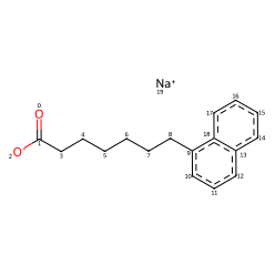 O=C([O-])CCCCCCc1cccc2ccccc12.[Na+]